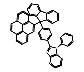 C1=C=Cc2c(nc(-c3ccc(C4(c5cc6cccc7ccc8c(c5C=C=C=8)c76)c5ccccc5-c5ccccc54)cc3)n2-c2ccccc2)C=1